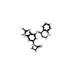 Cc1nc2c(OC3CCOc4ccccc43)cc(N3CCC3=O)cc2[nH]1